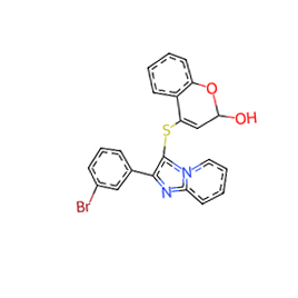 OC1C=C(Sc2c(-c3cccc(Br)c3)nc3ccccn23)c2ccccc2O1